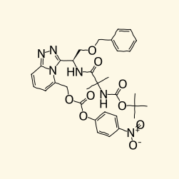 CC(C)(C)OC(=O)NC(C)(C)C(=O)N[C@H](COCc1ccccc1)c1nnc2cccc(COC(=O)Oc3ccc([N+](=O)[O-])cc3)n12